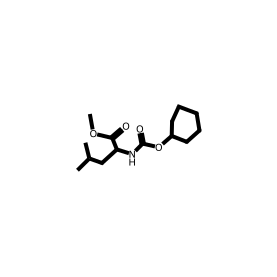 COC(=O)C(CC(C)C)NC(=O)OC1CCCCC1